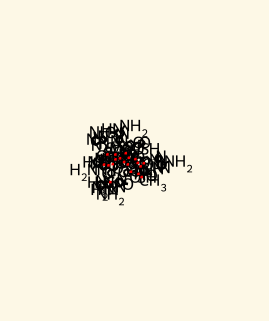 COP(=O)(S)OC1C[C@H](n2cnc3c(=O)[nH]c(N)nc32)O[C@@H]1COP(=O)(S)OC1C[C@H](n2cnc3c(N)ncnc32)O[C@@H]1COP(=O)(S)OC1C[C@H](n2cc(C)c(N)nc2=O)O[C@@H]1COP(=O)(S)OC1C[C@H](n2cc(C)c(=O)[nH]c2=O)O[C@@H]1COP(=O)(S)OC1C[C@H](n2cnc3c(N)ncnc32)O[C@@H]1COP(=O)(S)OC1C[C@H](n2cnc3c(N)ncnc32)O[C@@H]1COP(=O)(S)OC1C[C@H](n2cnc3c(N)ncnc32)O[C@@H]1C